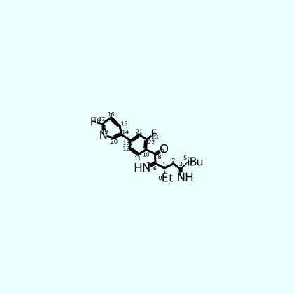 CC[C@@H](CC(=N)[C@H](C)CC)C(=N)C(=O)c1ccc(-c2ccc(F)nc2)cc1F